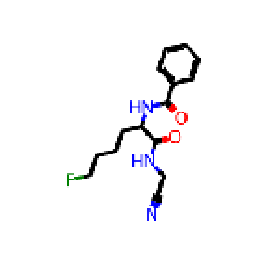 N#CCNC(=O)C(CCCCF)NC(=O)c1ccccc1